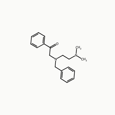 CN(C)CCN(CC(=O)c1ccccc1)Cc1ccccc1